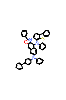 c1ccc(-c2ccc(N(c3ccccc3)c3ccc4c(N(c5ccccc5)c5cccc6c5sc5ccccc56)c5nc(-c6ccccc6)oc5cc4c3)cc2)cc1